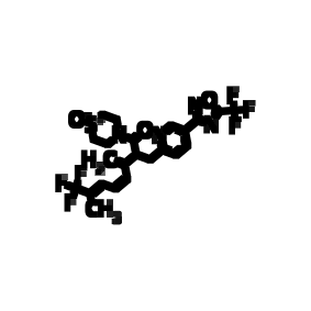 C=C(/C=C\C=C(/C)C(F)(F)F)C(Cc1ccc(-c2noc(C(F)(F)F)n2)cn1)C(=O)N1CC[S+]([O-])CC1